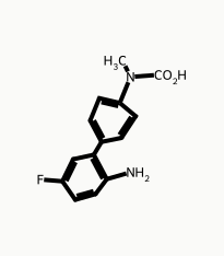 CN(C(=O)O)c1ccc(-c2cc(F)ccc2N)cc1